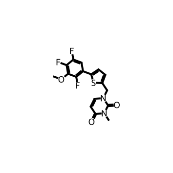 COc1c(F)c(F)cc(-c2ccc(Cn3ccc(=O)n(C)c3=O)s2)c1F